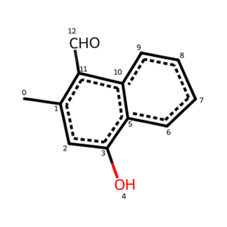 Cc1cc(O)c2ccccc2c1C=O